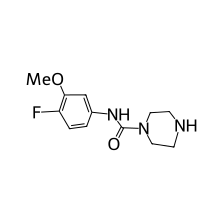 COc1cc(NC(=O)N2CCNCC2)ccc1F